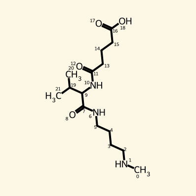 CNCCCCNC(=O)C(NC(=O)CCCC(=O)O)C(C)C